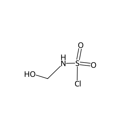 O=S(=O)(Cl)NCO